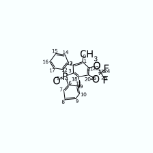 Cc1cc(P(=O)(c2ccccc2)c2ccccc2)c(I)c2c1OC(F)(F)O2